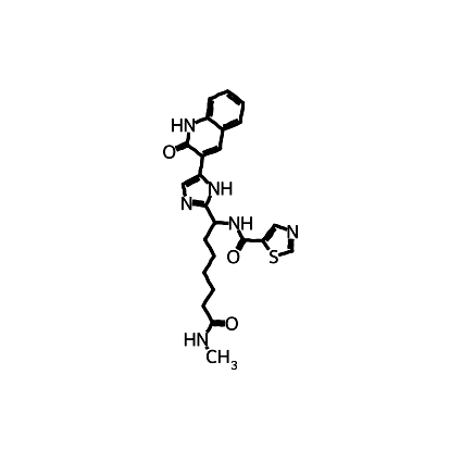 CNC(=O)CCCCCC(NC(=O)c1cncs1)c1ncc(-c2cc3ccccc3[nH]c2=O)[nH]1